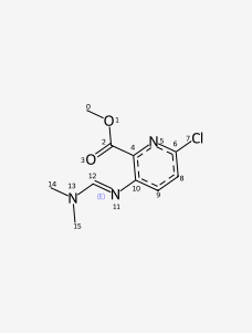 COC(=O)c1nc(Cl)ccc1/N=C/N(C)C